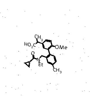 CCN(Cc1cc(C)ccc1-c1cc(C(C)C(=O)O)ccc1OC)C(=O)C1CC1